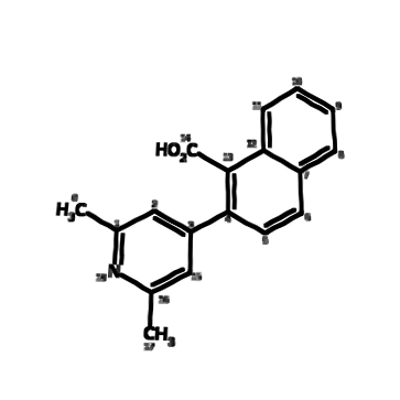 Cc1cc(-c2ccc3ccccc3c2C(=O)O)cc(C)n1